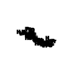 CCC[N+](CCO)(CC(=O)NCC(=O)N[C@@H](CC(C)C)C(=O)NCC(=O)N[C@@H](CC(C)C)C(=O)[C@@]1(C)CO1)Cc1ccc(OC(=O)C(C)C)c(OC/C(N)=C/NN)c1